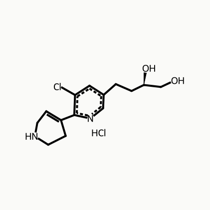 Cl.OC[C@H](O)CCc1cnc(C2=CCNCC2)c(Cl)c1